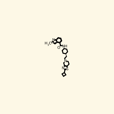 Cn1cc2c(C(=O)N[C@H]3CC[C@H](CCN4CCc5sc(C6CCC6)nc5C4)CC3)cccc2n1